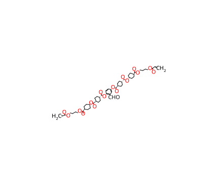 C=CC(=O)OCCCCOC(=O)[C@H]1CC[C@H](OC(=O)[C@H]2CC[C@H](C(=O)Oc3ccc(OC(=O)[C@H]4CC[C@H](C(=O)O[C@H]5CC[C@H](C(=O)OCCCCOC(=O)C=C)CC5)CC4)c(C=O)c3)CC2)CC1